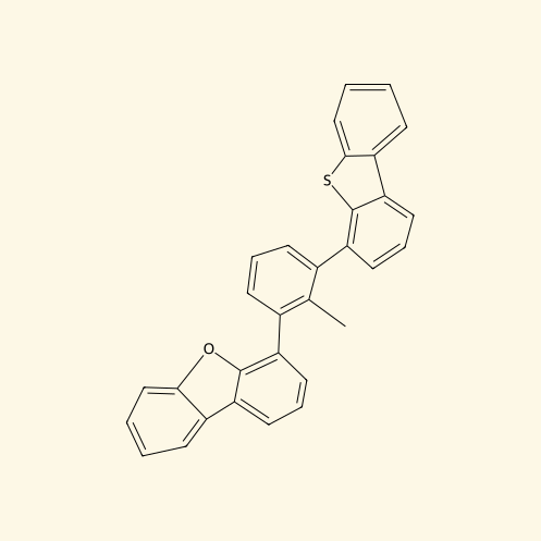 Cc1c(-c2cccc3c2oc2ccccc23)cccc1-c1cccc2c1sc1ccccc12